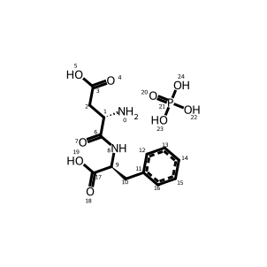 N[C@@H](CC(=O)O)C(=O)N[C@@H](Cc1ccccc1)C(=O)O.O=P(O)(O)O